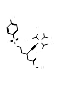 COC(=O)CC(C#C[Si](C(C)C)(C(C)C)C(C)C)CCOS(=O)(=O)c1ccc(C)cc1